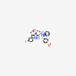 COc1ccc(CNC2(Cc3ccccc3)CCC3(CC2)OCCc2c3[nH]c3ccc(F)cc23)cc1